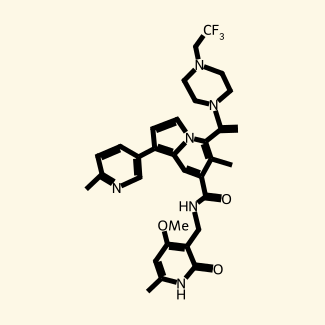 C=C(c1c(C)c(C(=O)NCc2c(OC)cc(C)[nH]c2=O)cc2c(-c3ccc(C)nc3)ccn12)N1CCN(CC(F)(F)F)CC1